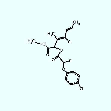 CC=CC(Cl)=C(C)C(OC(=O)C(Cl)Oc1ccc(Cl)cc1)C(=O)OCC